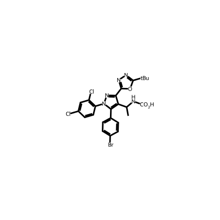 CC(NC(=O)O)c1c(-c2nnc(C(C)(C)C)o2)nn(-c2ccc(Cl)cc2Cl)c1-c1ccc(Br)cc1